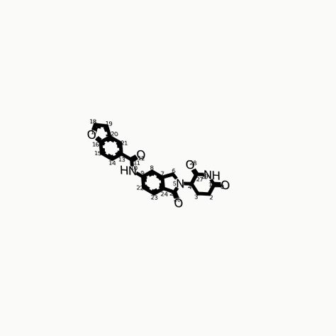 O=C1CCC(N2Cc3cc(NC(=O)c4ccc5occc5c4)ccc3C2=O)C(=O)N1